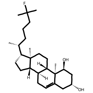 C[C@H](CCCC(C)(C)F)[C@H]1CC[C@H]2[C@@H]3CC=C4C[C@@H](O)C[C@H](O)[C@]4(C)[C@H]3CC[C@]12C